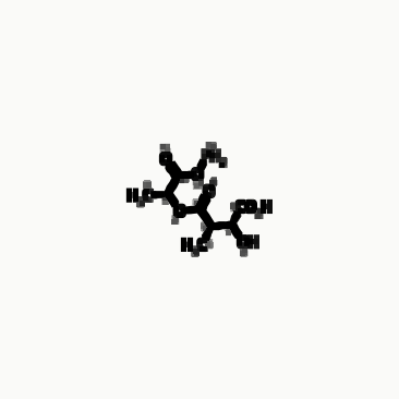 C[C@H](OC(=O)[C@H](C)[C@H](O)C(=O)O)C(=O)OP